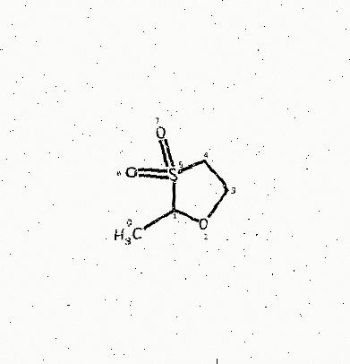 CC1OCCS1(=O)=O